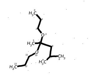 CCCOC(C)(CC(C)C)OCCC